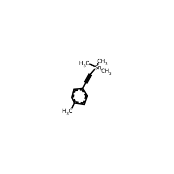 Cc1ccc(C#[C][Sn]([CH3])([CH3])[CH3])cc1